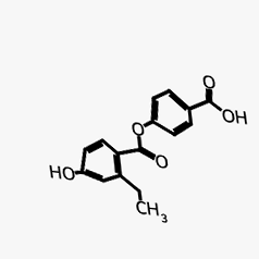 CCc1cc(O)ccc1C(=O)Oc1ccc(C(=O)O)cc1